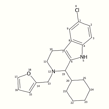 Clc1ccc2[nH]c3c(c2c1)CCN(Cc1ccco1)C3C1CCCCC1